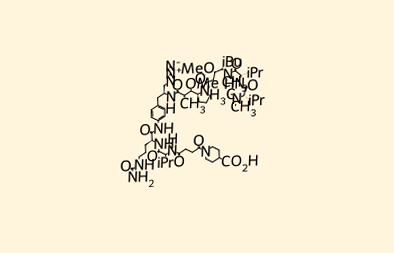 CC[C@H](C)[C@@H]([C@@H](CC(=O)N1CCC[C@H]1[C@H](OC)[C@@H](C)C(=O)N[C@H](CN=[N+]=[N-])Cc1ccc(NC(=O)[C@H](CCCNC(N)=O)NC(=O)[C@@H](NC(=O)CCC(=O)N2CCC(C(=O)O)CC2)C(C)C)cc1)OC)N(C)C(=O)[C@@H](NC(=O)[C@H](C(C)C)N(C)C)C(C)C